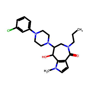 CCCN1CC(N2CCN(c3cccc(Cl)c3)CC2)C(O)c2c(ccn2C)C1=O